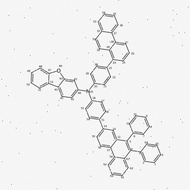 c1ccc(-c2c(-c3ccccc3)c3cc(-c4ccc(N(c5ccc(-c6cccc7c6ccc6ccccc67)cc5)c5ccc6c(c5)oc5ccccc56)cc4)ccc3c3ccccc23)cc1